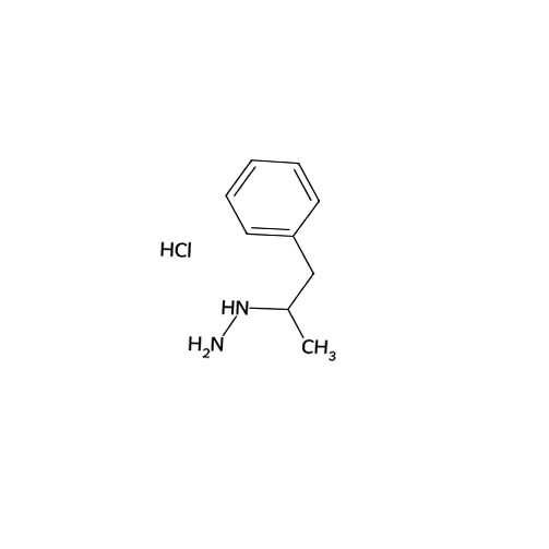 CC(Cc1ccccc1)NN.Cl